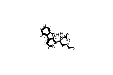 CCCCC(NC(C)=O)c1nccc2c1[nH]c1ccccc12